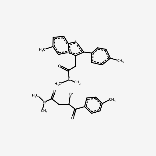 Cc1ccc(-c2nc3ccc(C)cn3c2CC(=O)N(C)C)cc1.Cc1ccc(C(=O)C(Br)CC(=O)N(C)C)cc1